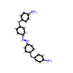 Nc1ccc(Cc2ccc(/N=N/c3ccc(Cc4ccc(N)cc4)cc3)cc2)cc1